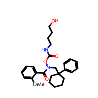 COc1ccccc1C(=O)N(CC1(c2ccccc2)CCCCC1)OC(=O)NCCCCO